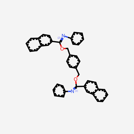 c1ccc(/N=C(\OCc2ccc(CO/C(=N\c3ccccc3)c3ccc4ccccc4c3)cc2)c2ccc3ccccc3c2)cc1